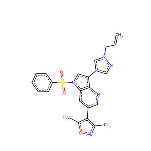 C=CCn1cc(-c2cn(S(=O)(=O)c3ccccc3)c3cc(-c4c(C)noc4C)cnc23)cn1